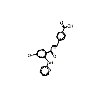 O=C(O)c1ccc(/C=C/C(=O)c2ccc(Cl)cc2Nc2ccccn2)cc1